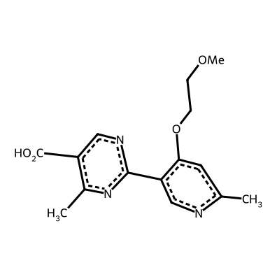 COCCOc1cc(C)ncc1-c1ncc(C(=O)O)c(C)n1